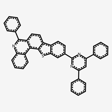 c1ccc(-c2cc(-c3ccccc3)nc(-c3ccc4c(c3)sc3c4ccc4c(-c5ccccc5)nc5ccccc5c43)n2)cc1